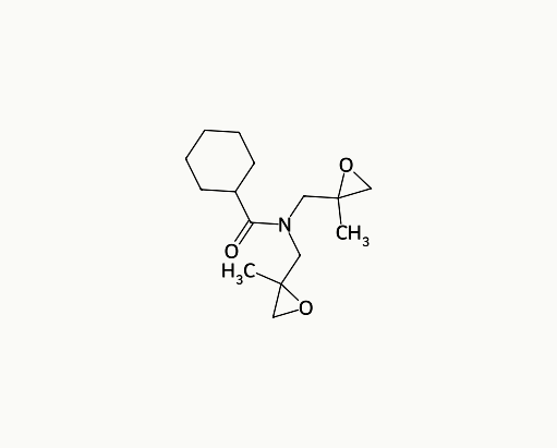 CC1(CN(CC2(C)CO2)C(=O)C2CCCCC2)CO1